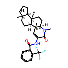 CN1C(=O)C(NC(=O)c2ccccc2C(F)(F)F)=C[C@]2(C)[C@H]3CC[C@]4(C)CCC[C@H]4[C@@H]3CC[C@@H]12